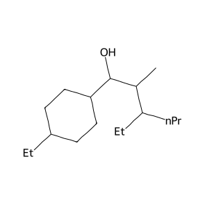 CCCC(CC)C(C)C(O)C1CCC(CC)CC1